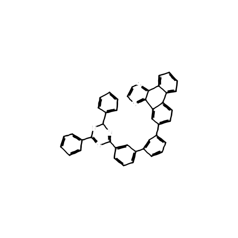 c1ccc(C2=NC(c3cccc(-c4cccc(-c5ccc6c7ccccc7c7nccnc7c6c5)c4)c3)=NC(c3ccccc3)N2)cc1